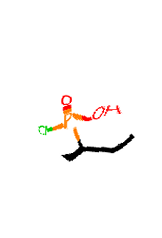 C=C(CC)P(=O)(O)Cl